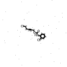 O=C(Nc1ccccc1Cl)OCC#CCCCl